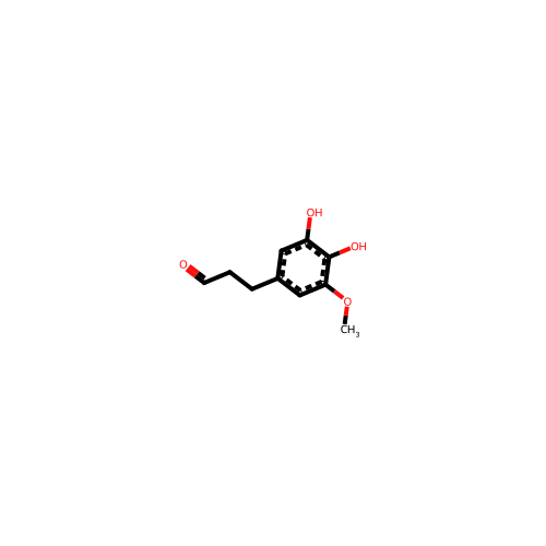 COc1cc(CCC=O)cc(O)c1O